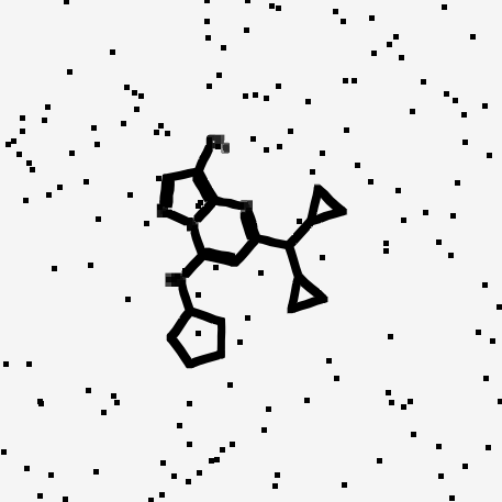 FC(F)(F)c1cnn2c(NC3CCCC3)cc(C(C3CC3)C3CC3)nc12